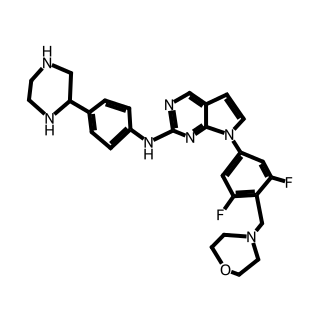 Fc1cc(-n2ccc3cnc(Nc4ccc(C5CNCCN5)cc4)nc32)cc(F)c1CN1CCOCC1